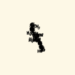 Cc1ncsc1-c1ccc([C@H](C)NC(=O)[C@@H]2C[C@@H](O)CN2C(=O)C(NC(=O)CC2CCN(c3ccc(C(=O)O)nc3)CC2)C(C)(C)C)cc1